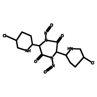 O=NN1C(=O)C(C2CCC(Cl)CN2)N(N=O)C(=O)C1C1CCC(Cl)CN1